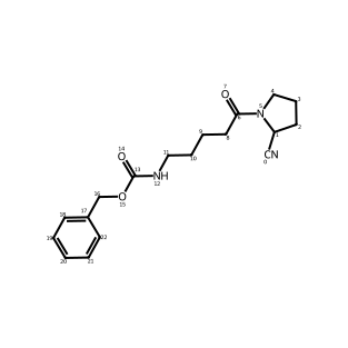 N#CC1CCCN1C(=O)CCCCNC(=O)OCc1ccccc1